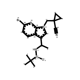 CC(N[S@@+]([O-])C(C)(C)C)c1cn(CC2(C#N)CC2)c2nc(Br)ccc12